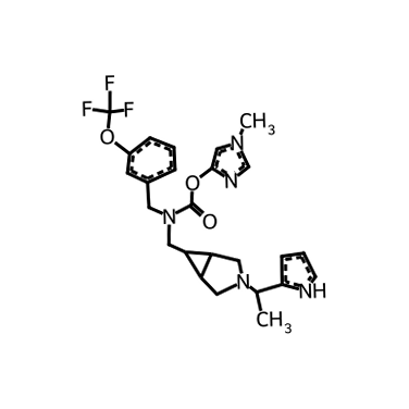 CC(c1ccc[nH]1)N1CC2C(CN(Cc3cccc(OC(F)(F)F)c3)C(=O)Oc3cn(C)cn3)C2C1